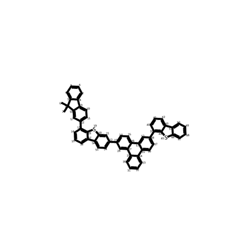 CC1(C)c2ccccc2-c2ccc(-c3cccc4c3sc3cc(-c5ccc6c(c5)c5ccccc5c5ccc(-c7cccc8c7sc7ccccc78)cc56)ccc34)cc21